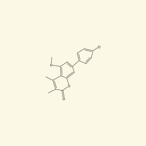 COc1cc(-c2ccc(Cl)cc2)cc2oc(=O)c(C)c(C)c12